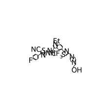 CCn1cc(/C(=N/Nc2nc(-c3ccc(F)cc3)c(C#N)s2)C(F)(F)F)c2cc(-c3nc(CN4CCN(CCO)CC4)cs3)ccc21